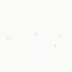 CC1(C)c2ccccc2-n2c1nc1cccc(Br)c1c2=O